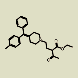 CCOC(=O)C(CCN1CCC(=C(c2ccccc2)c2ccc(C)cc2)CC1)C(C)=O